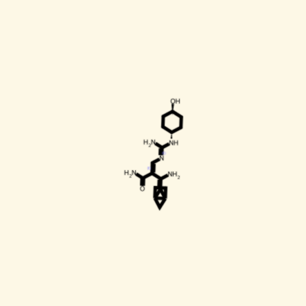 NC(=O)/C(=C/N=C(\N)N[C@H]1CC[C@H](O)CC1)C(N)=C1C23CCC12C3